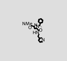 CNC(=O)c1cc(C(=O)NCCc2cccnc2)n([C@@H](C)c2ccccc2)n1